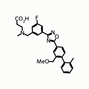 COCc1cc(-c2nc(-c3cc(F)cc(CN(C)CCC(=O)O)c3)no2)ccc1-c1ccccc1C